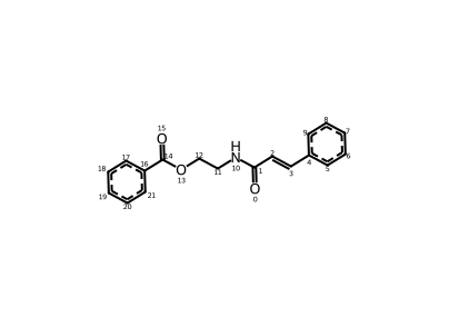 O=C(/C=C/c1ccccc1)NCCOC(=O)c1ccccc1